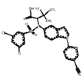 CC(C)(C)C(C(=O)O)N(c1ccc2c(ccn2-c2ccc(C#N)cn2)c1)S(=O)(=O)c1cc(Cl)cc(Cl)c1